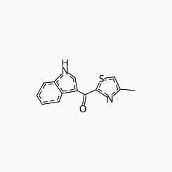 Cc1csc(C(=O)c2c[nH]c3ccccc23)n1